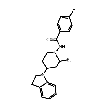 CCC1CC(N2CCc3ccccc32)CCN1NC(=O)c1ccc(F)cc1